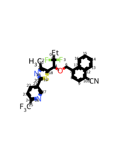 CCC(F)(F)C(OCc1ccc(C#N)c2ccccc12)c1sc(-c2ccc(C(F)(F)F)nc2)nc1C